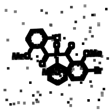 COc1cccc(Cl)c1C(=O)P(=O)(C(=O)c1c(OC)ccc(Br)c1OC)c1ccccc1